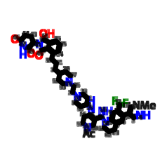 CN/C=C(\C=N)c1cc2c(cc1C(F)F)N(C(=N)C1=C(NC3CCN(CCN4CCC(CCCc5cccc6c5C(=O)N(C5CCC(=O)NC5=O)C6O)CC4)CC3)CCN(C(C)=O)C1)CCC2